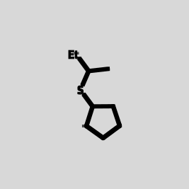 CCC(C)SC1[CH]CCC1